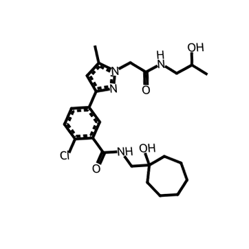 Cc1cc(-c2ccc(Cl)c(C(=O)NCC3(O)CCCCCC3)c2)nn1CC(=O)NCC(C)O